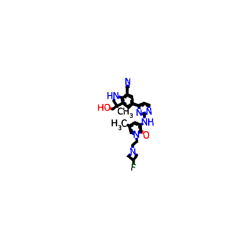 Cc1cc(Nc2nccc(-c3cc(C#N)c4c(c3)[C@@](C)(CO)CN4)n2)c(=O)n(CCN2CC(F)C2)c1